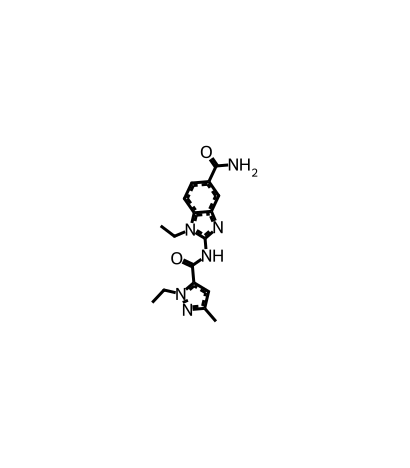 CCn1nc(C)cc1C(=O)Nc1nc2cc(C(N)=O)ccc2n1CC